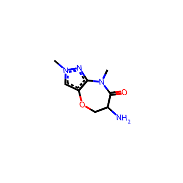 CN1C(=O)C(N)COc2cn(C)nc21